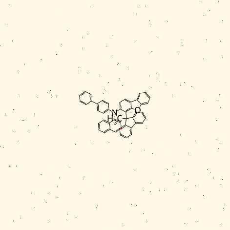 CC1(c2c(N(c3ccc(-c4ccccc4)cc3)c3cccc4ccccc34)ccc3c2oc2ccccc23)c2ccccc2-c2ccccc21